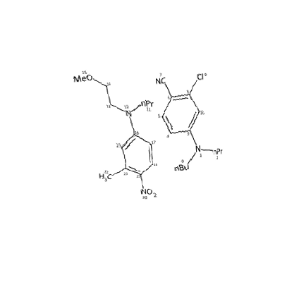 CCCCN(CCC)c1ccc(C#N)c(Cl)c1.CCCN(CCOC)c1ccc([N+](=O)[O-])c(C)c1